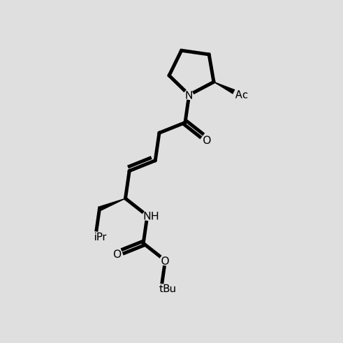 CC(=O)[C@@H]1CCCN1C(=O)C/C=C/[C@H](CC(C)C)NC(=O)OC(C)(C)C